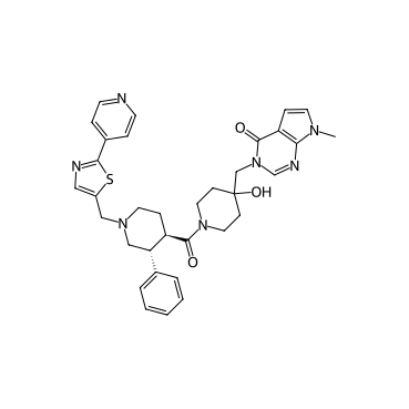 Cn1ccc2c(=O)n(CC3(O)CCN(C(=O)[C@@H]4CCN(Cc5cnc(-c6ccncc6)s5)C[C@H]4c4ccccc4)CC3)cnc21